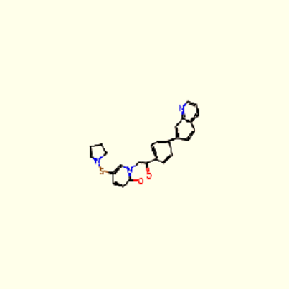 O=C(Cn1cc(SN2CCCC2)ccc1=O)c1ccc(-c2ccc3cccnc3c2)cc1